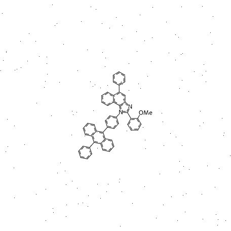 COc1ccccc1-c1nc2cc(-c3ccccc3)c3ccccc3c2n1-c1ccc(-c2c3ccccc3c(-c3ccccc3)c3ccccc23)cc1